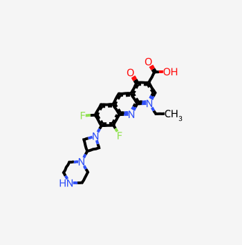 CCn1cc(C(=O)O)c(=O)c2cc3cc(F)c(N4CC(N5CCNCC5)C4)c(F)c3nc21